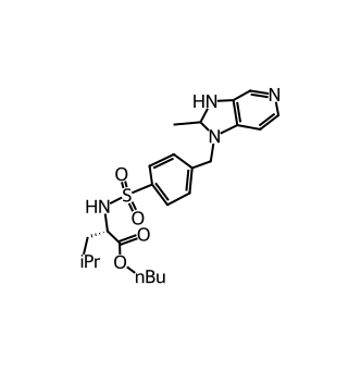 CCCCOC(=O)[C@H](CC(C)C)NS(=O)(=O)c1ccc(CN2c3ccncc3NC2C)cc1